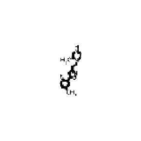 Cc1ccc(F)c(-c2cc(CCN3CCNC[C@H]3C)no2)c1